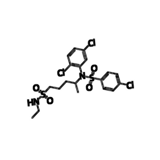 CCNS(=O)(=O)CCCC(C)N(c1cc(Cl)ccc1Cl)S(=O)(=O)c1ccc(Cl)cc1